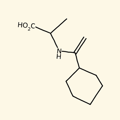 C=C(NC(C)C(=O)O)C1CCCCC1